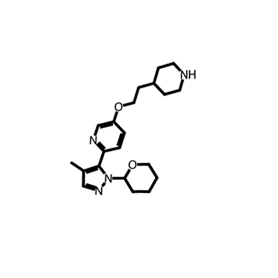 Cc1cnn(C2CCCCO2)c1-c1ccc(OCCC2CCNCC2)cn1